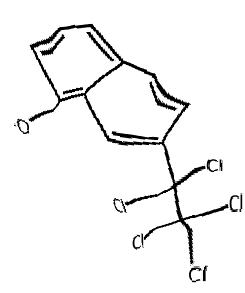 [O]c1cccc2ccc(C(Cl)(Cl)C(Cl)(Cl)Cl)cc12